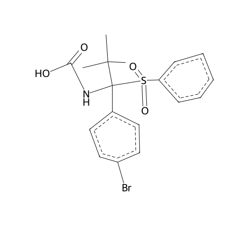 CC(C)(C)C(NC(=O)O)(c1ccc(Br)cc1)S(=O)(=O)c1ccccc1